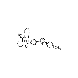 CN1CCN(c2nc(-c3ccc(C(=O)NC4(C(=O)NC5(C#N)CCOCC5)CCCCC4)cc3)cs2)CC1